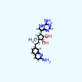 C[C@]1(CCc2ccc3ccc(N)nc3c2)C[C@@H](c2cnn3c(N)ncnc23)[C@H](O)[C@@H]1O